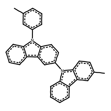 Cc1cccc(-n2c3ccccc3c3cc(-n4c5ccccc5c5cc(C)ccc54)ccc32)c1